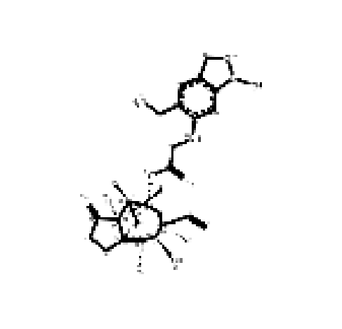 C=C[C@]1(C)C[C@@H](OC(=O)CNc2cc3c(cc2CN)COB3O)[C@]2(C)[C@H](C)CC[C@]3(CCC(=O)[C@H]32)[C@@H](C)[C@@H]1O